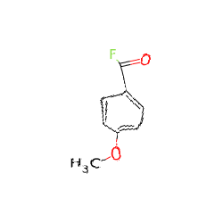 COc1ccc(C(=O)F)cc1